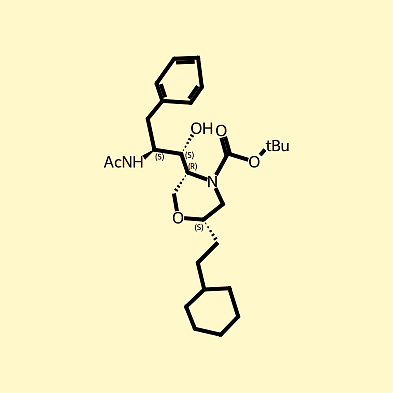 CC(=O)N[C@@H](Cc1ccccc1)[C@H](O)[C@H]1CO[C@@H](CCC2CCCCC2)CN1C(=O)OC(C)(C)C